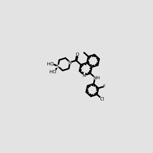 Cc1cccc2c(Nc3cccc(Cl)c3F)ncc(C(=O)N3CCS(O)(O)CC3)c12